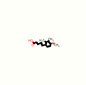 COc1ccc(C=CC=CC(=O)O)c(C)c1C